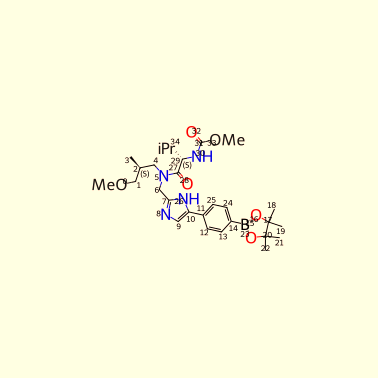 COC[C@@H](C)CN(Cc1ncc(-c2ccc(B3OC(C)(C)C(C)(C)O3)cc2)[nH]1)C(=O)[C@@H](NC(=O)OC)C(C)C